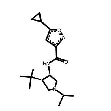 CC(C)N1C[C@H](NC(=O)c2cc(C3CC3)on2)[C@H](C(C)(C)C)C1